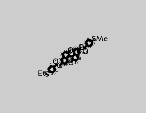 CCSc1ccc(C(=O)Oc2ccc3c(-c4c(O)ccc5cc(OC(=O)c6ccc(SC)cc6)ccc45)c(O)ccc3c2)cc1